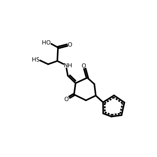 O=C1CC(c2ccccc2)CC(=O)C1=CNC(CS)C(=O)O